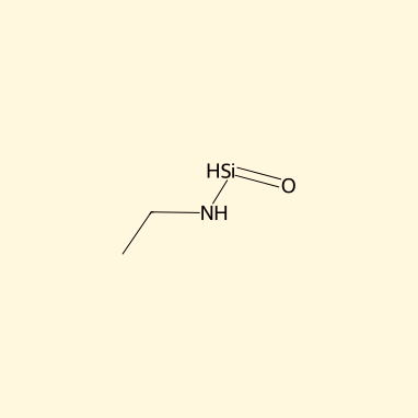 CCN[SiH]=O